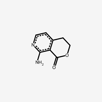 Nc1nccc2c1C(=O)OCC2